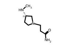 CN[C@H]1CCN(CCC(N)=O)C1